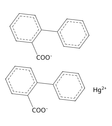 O=C([O-])c1ccccc1-c1ccccc1.O=C([O-])c1ccccc1-c1ccccc1.[Hg+2]